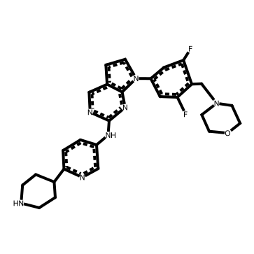 Fc1cc(-n2ccc3cnc(Nc4ccc(C5CCNCC5)nc4)nc32)cc(F)c1CN1CCOCC1